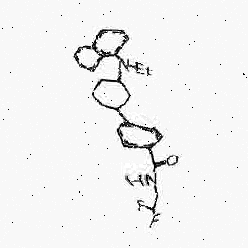 CCN(c1cccc2ccccc12)C1CCCC(c2ccc(C(=O)NCC(F)F)cc2)C1